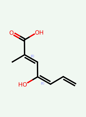 C=C/C=C(O)\C=C(/C)C(=O)O